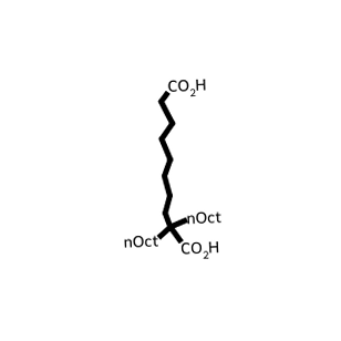 CCCCCCCCC(CCCCCCCC)(CCCCCCCC(=O)O)C(=O)O